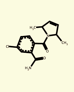 CC1C=CC(C)N1C(=O)c1ccc(Cl)cc1C(N)=O